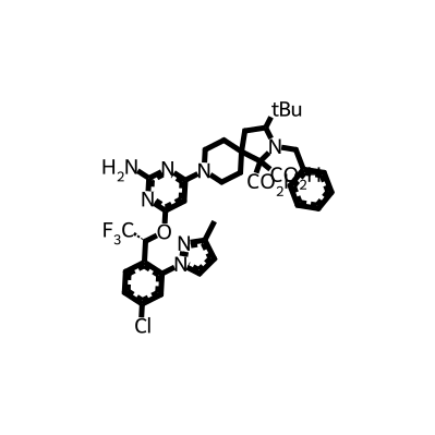 Cc1ccn(-c2cc(Cl)ccc2[C@@H](Oc2cc(N3CCC4(CC3)CC(C(C)(C)C)N(Cc3ccccc3)C4(C(=O)O)C(=O)O)nc(N)n2)C(F)(F)F)n1